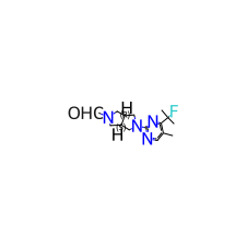 Cc1cnc(N2C[C@H]3CN(C=O)C[C@H]3C2)nc1C(C)(C)F